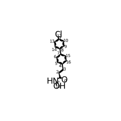 O=C(C=Cc1ccc(-c2ccc(Cl)cc2)cc1)NO